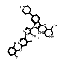 Cc1cc(Oc2c(F)cccc2F)ncc1-n1ncc(-n2c(C=O)c(OC3CCNCC3C(C)C)c3ccc(C4CCNCC4)cc32)c1N